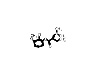 CCC(=CN(C)C)C(=O)Oc1cccc(OC)c1Cl